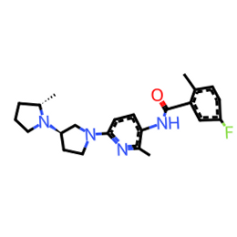 Cc1ccc(F)cc1C(=O)Nc1ccc(N2CC[C@@H](N3CCC[C@@H]3C)C2)nc1C